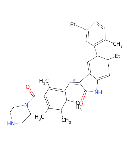 CCc1ccc(C)c(C2C=C3C(=CC2CC)NC(=O)/C3=C\C2=C(C)C(C(=O)N3CCNCC3)=C(C)C(C)C2C)c1